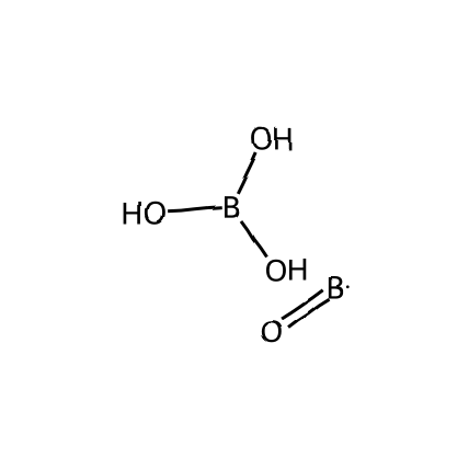 OB(O)O.[B]=O